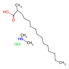 CCCCCCCCCCCCCC(C)C(=O)O.CNC.Cl